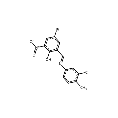 Cc1ccc(/N=C/c2cc(Br)cc([N+](=O)[O-])c2O)cc1Cl